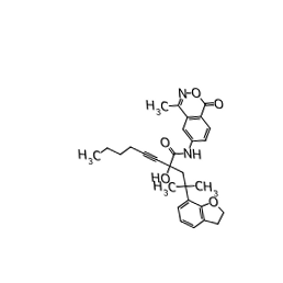 CCCCC#CC(O)(CC(C)(C)c1cccc2c1OCC2)C(=O)Nc1ccc2c(=O)onc(C)c2c1